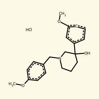 COc1ccc(CN2CCCC(O)(c3cccc(OC)c3)C2)cc1.Cl